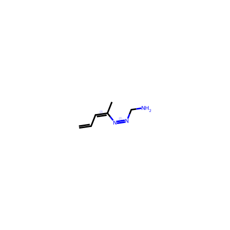 C=C/C=C(C)\N=N/CN